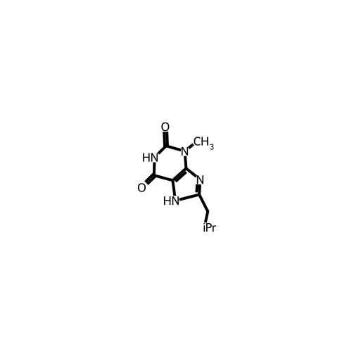 CC(C)Cc1nc2c([nH]1)c(=O)[nH]c(=O)n2C